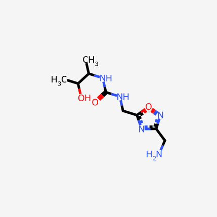 CC(O)C(C)NC(=O)NCc1nc(CN)no1